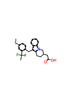 CSc1ccc(Cc2c3n(c4ccccc24)CC(CC(=O)O)CC3)c(C(F)(F)F)c1